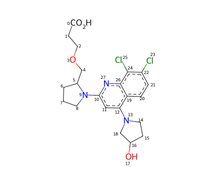 O=C(O)CCOCC1CCCN1c1cc(N2CCC(O)C2)c2ccc(Cl)c(Cl)c2n1